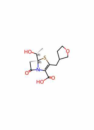 C[C@@H](O)[C@]12CC(=O)N1C(C(=O)O)=C(CC1CCOC1)S2